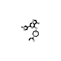 C=CC(=O)N1CCC[C@@H](Oc2nc(-c3cnn(C)c3)cn3ncc(F)c23)CC1